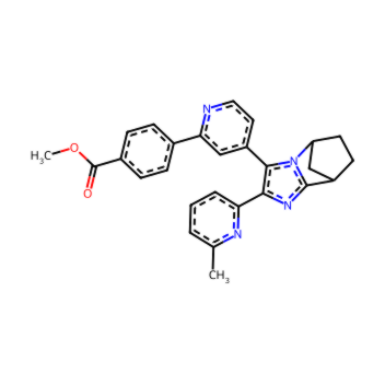 COC(=O)c1ccc(-c2cc(-c3c(-c4cccc(C)n4)nc4n3C3CCC4C3)ccn2)cc1